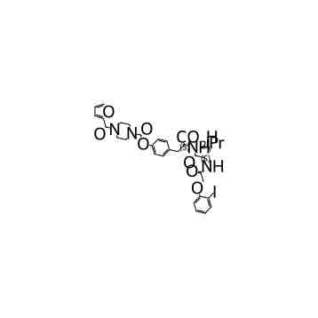 CC(C)C[C@H](NC(=O)COc1ccccc1I)C(=O)N[C@@H](Cc1ccc(OC(=O)N2CCN(C(=O)c3ccco3)CC2)cc1)C(=O)O